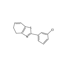 Clc1cccc(-c2nc3c(s2)C=CCC3)c1